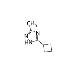 Cc1n[nH]c(C2CCC2)n1